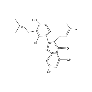 CC(C)=CCc1c(O)ccc(-c2oc3cc(O)cc(O)c3c(=O)c2CC=C(C)C)c1O